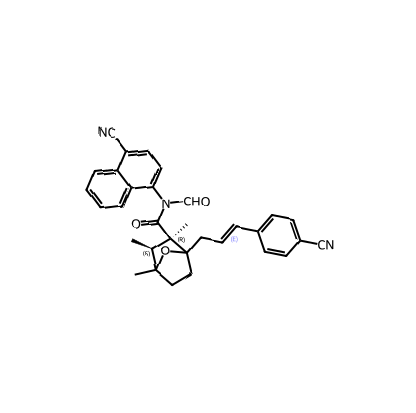 C[C@@H]1C2(C)CCC(C/C=C/c3ccc(C#N)cc3)(O2)[C@]1(C)C(=O)N(C=O)c1ccc(C#N)c2ccccc12